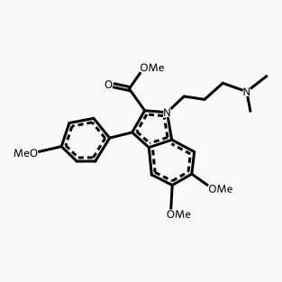 COC(=O)c1c(-c2ccc(OC)cc2)c2cc(OC)c(OC)cc2n1CCCN(C)C